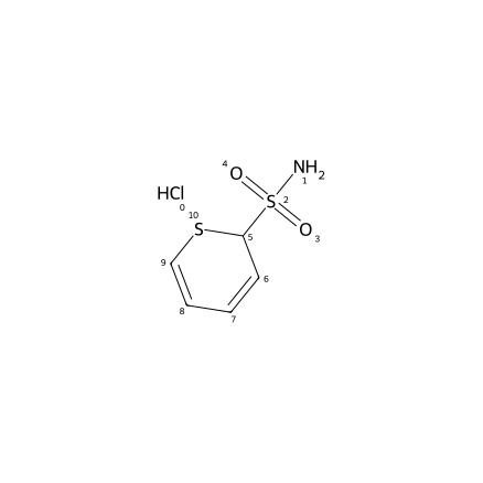 Cl.NS(=O)(=O)C1C=CC=CS1